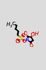 CCCCCS(=O)(=O)ON1C(=O)CC(O)C1=O